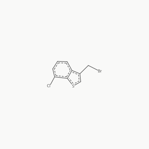 Clc1cccc2c(CBr)csc12